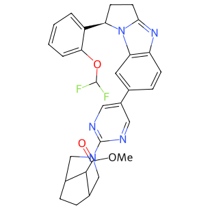 COC(=O)C1C2CCC1CN(c1ncc(-c3ccc4nc5n(c4c3)[C@@H](c3ccccc3OC(F)F)CC5)cn1)C2